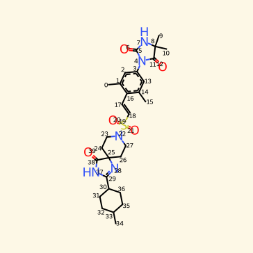 Cc1cc(N2C(=O)NC(C)(C)C2=O)cc(C)c1/C=C/S(=O)(=O)N1CCC2(CC1)N=C(C1CCC(C)CC1)NC2=O